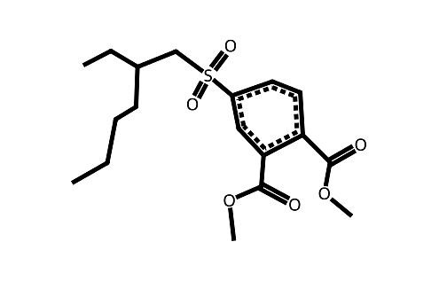 CCCCC(CC)CS(=O)(=O)c1ccc(C(=O)OC)c(C(=O)OC)c1